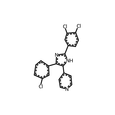 Clc1cccc(-c2nc(-c3ccc(Cl)c(Cl)c3)[nH]c2-c2ccncc2)c1